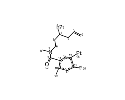 C=CCC(CCC)CCN(C)C(=O)c1cc(CC)c(F)cc1C